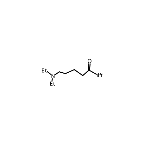 CCN(CC)CCCCC(=O)C(C)C